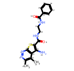 Cc1nnc2sc(C(=O)NCCNC(=O)c3ccccc3)c(N)c2c1C